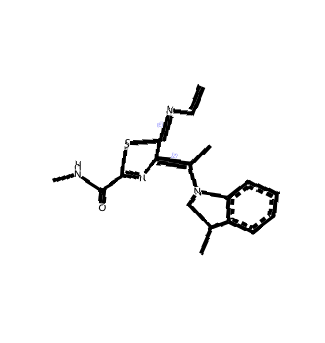 C=C/N=C1/SC(C(=O)NC)=N/C1=C(/C)N1CC(C)c2ccccc21